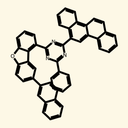 c1ccc(-c2nc(-c3cc4c5ccccc5ccc4c4ccccc34)nc(-c3cccc4oc5ccc(-c6ccc7ccccc7c6)cc5c34)n2)cc1